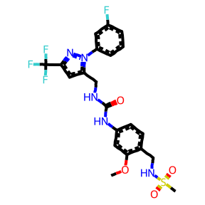 COc1cc(NC(=O)NCc2cc(C(F)(F)F)nn2-c2cccc(F)c2)ccc1CNS(C)(=O)=O